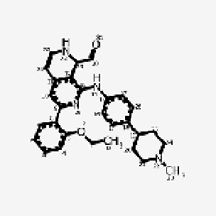 CCOc1ccccc1-c1cc2c(c(Nc3ccc(C4CCN(C)CC4)cc3)n1)C(C=O)NC=C2